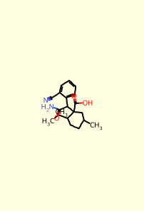 CC1CCC(C(C)C)C(C(=O)O)(C(C(N)=O)c2ccccc2C#N)C1